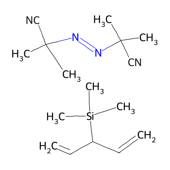 C=CC(C=C)[Si](C)(C)C.CC(C)(C#N)N=NC(C)(C)C#N